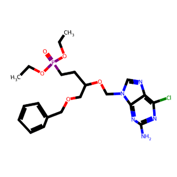 CCOP(=O)(CCC(COCc1ccccc1)OCn1cnc2c(Cl)nc(N)nc21)OCC